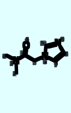 CN(C)C(=O)Cn1ccnc1